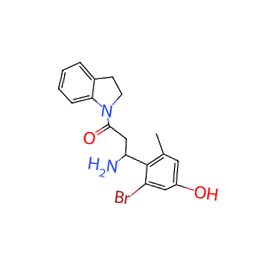 Cc1cc(O)cc(Br)c1C(N)CC(=O)N1CCc2ccccc21